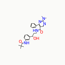 CN(C)c1ncc(C(=O)NCCC(O)c2cccc(NC(=O)C(C)(C)C)c2)c(-c2ccccc2)n1